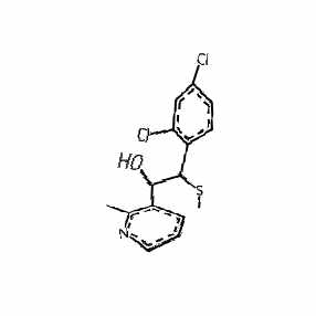 CSC(c1ccc(Cl)cc1Cl)C(O)c1cccnc1C